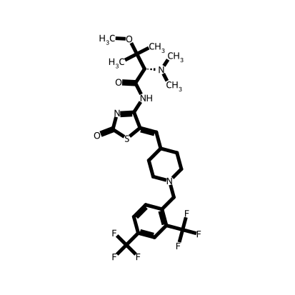 COC(C)(C)[C@@H](C(=O)NC1=NC(=O)S/C1=C\C1CCN(Cc2ccc(C(F)(F)F)cc2C(F)(F)F)CC1)N(C)C